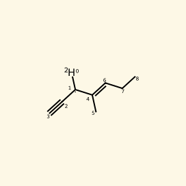 [2H][C](C#C)C(C)=CCC